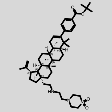 C=C(C)[C@@H]1CC[C@]2(CCNCCN3CCS(=O)(=O)CC3)CC[C@]3(C)[C@H](CC[C@@H]4[C@@]5(C)CC=C(c6ccc(C(=O)OC(C)(C)C)cc6)C(C)(C)[C@@H]5CC[C@]43C)[C@@H]12